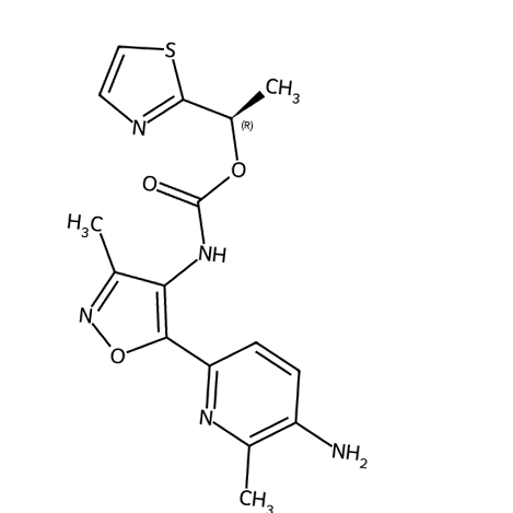 Cc1nc(-c2onc(C)c2NC(=O)O[C@H](C)c2nccs2)ccc1N